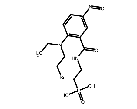 [CH2]CN(CCBr)c1ccc(N=O)cc1C(=O)NCCP(=O)(O)O